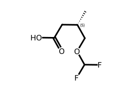 C[C@H](COC(F)F)CC(=O)O